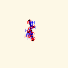 CC(C)(C)OC(=O)NCCC[C@@H](CNC(=O)C[C@H](CCCNC(=O)[C@H](CCCNC(=O)OC(C)(C)C)NC(=O)O)NC(=O)OC(C)(C)C)NC(=O)OC(C)(C)C